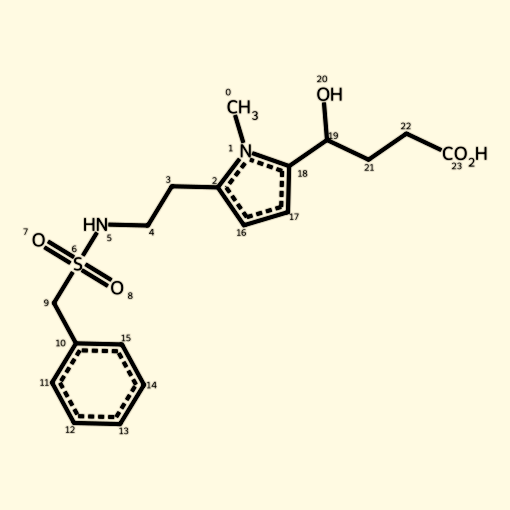 Cn1c(CCNS(=O)(=O)Cc2ccccc2)ccc1C(O)CCC(=O)O